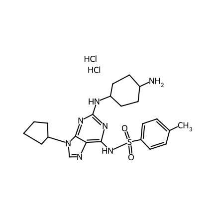 Cc1ccc(S(=O)(=O)Nc2nc(NC3CCC(N)CC3)nc3c2ncn3C2CCCC2)cc1.Cl.Cl